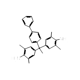 Cc1cc(C(C)(c2ccc(-c3ccccc3)cc2)c2cc(C)c(N)c(C)c2)cc(C)c1N